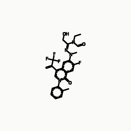 C=C(c1cn(-c2ccccc2C)c(=O)c2cc(F)c(N(C)/N=C(/CO)N(C=O)CC)cc12)C(F)(F)F